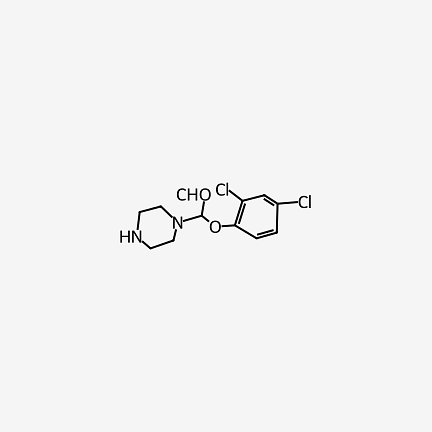 O=CC(Oc1ccc(Cl)cc1Cl)N1CCNCC1